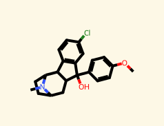 COc1ccc(C2(O)c3cc(Cl)ccc3C3C4CCC(CC32)N4C)cc1